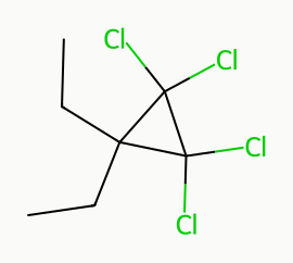 CCC1(CC)C(Cl)(Cl)C1(Cl)Cl